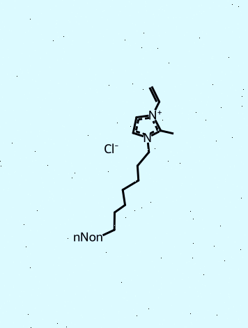 C=C[n+]1ccn(CCCCCCCCCCCCCCCC)c1C.[Cl-]